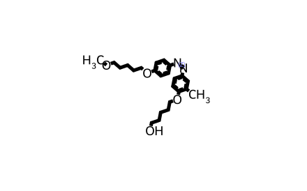 COCCCCCOc1ccc(/N=N\c2ccc(OCCCCCO)c(C)c2)cc1